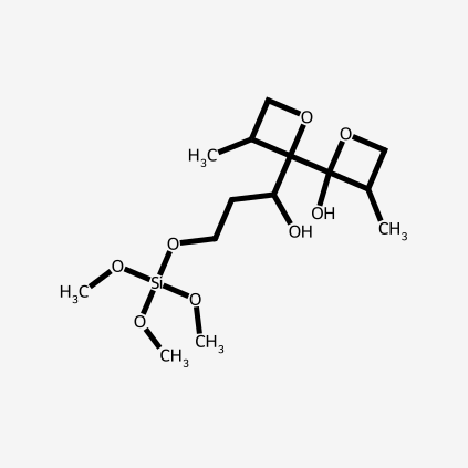 CO[Si](OC)(OC)OCCC(O)C1(C2(O)OCC2C)OCC1C